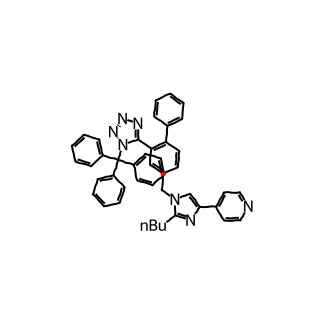 CCCCc1nc(-c2ccncc2)cn1Cc1ccc(-c2ccccc2)c(-c2nnnn2C(c2ccccc2)(c2ccccc2)c2ccccc2)c1